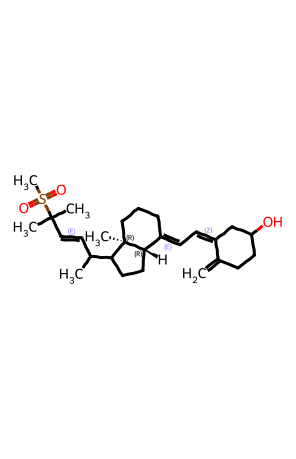 C=C1CCC(O)C/C1=C/C=C1\CCC[C@]2(C)C(C(C)/C=C/C(C)(C)S(C)(=O)=O)CC[C@@H]12